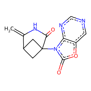 C=C1NC(=O)C2(n3c(=O)oc4cncnc43)CC1C2